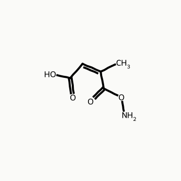 CC(=CC(=O)O)C(=O)ON